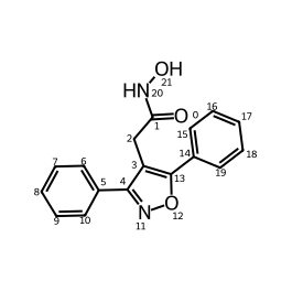 O=C(Cc1c(-c2ccccc2)noc1-c1ccccc1)NO